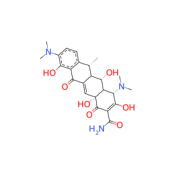 C[C@H]1c2ccc(N(C)C)c(O)c2C(=O)C2=C[C@]3(O)C(=O)C(C(N)=O)=C(O)[C@@H](N(C)C)C3[C@@H](O)C21